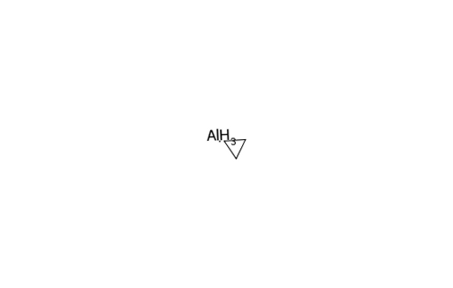 [AlH3].[CH]1CC1